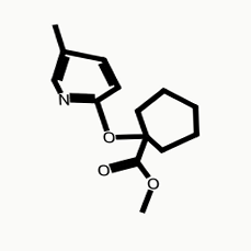 COC(=O)C1(Oc2ccc(C)cn2)CCCCC1